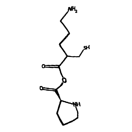 NCCCC(CS)C(=O)OC(=O)[C@@H]1CCCN1